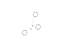 O=C(Oc1ccccc1)C(=NOCc1ccccc1)c1ccccc1